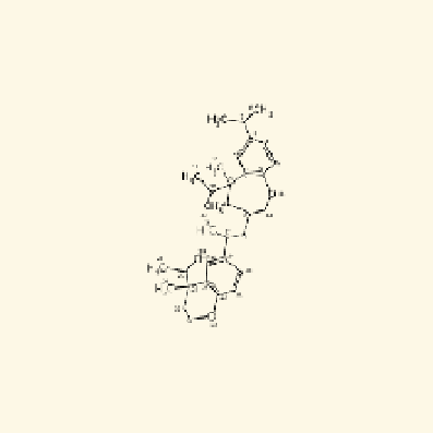 CC(C)c1ccc2c(c1)C(C)(C(C)C)CC(CC(C)c1ccc3c(c1)C(C)(C(C)C)CCO3)CO2